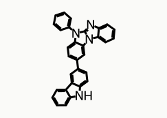 c1ccc(-n2c3ccc(-c4ccc5[nH]c6ccccc6c5c4)cc3n3c4ccccc4nc23)cc1